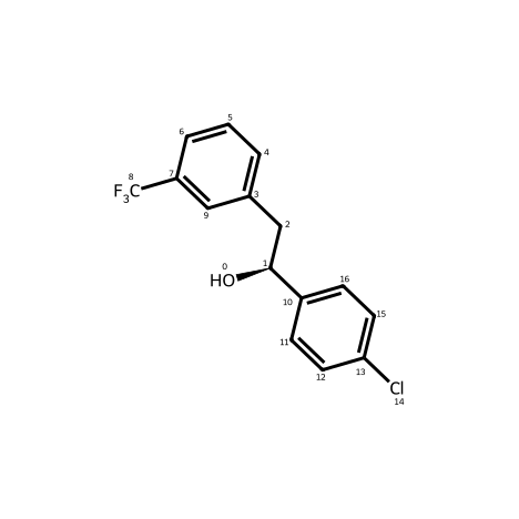 O[C@@H](Cc1cccc(C(F)(F)F)c1)c1ccc(Cl)cc1